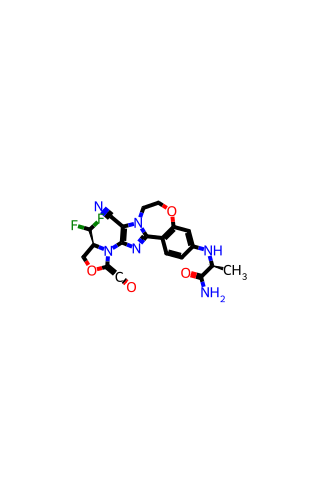 C[C@H](Nc1ccc2c(c1)OCCn1c-2nc(N2C(=C=O)OC[C@H]2C(F)F)c1C#N)C(N)=O